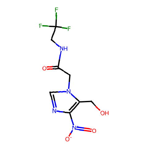 O=C(Cn1cnc([N+](=O)[O-])c1CO)NCC(F)(F)F